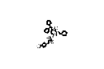 O=C(C=Cc1ccc(Cl)cc1)NC[C@@H]1CCN(CC(c2ccccc2)c2ccccc2)C(=O)[C@H](CCC2CCCCC2)N1